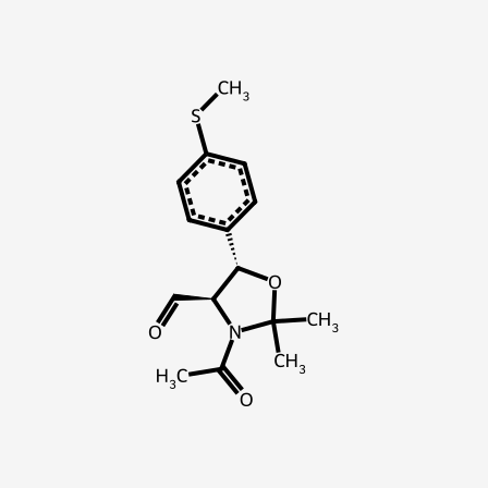 CSc1ccc([C@@H]2OC(C)(C)N(C(C)=O)[C@H]2C=O)cc1